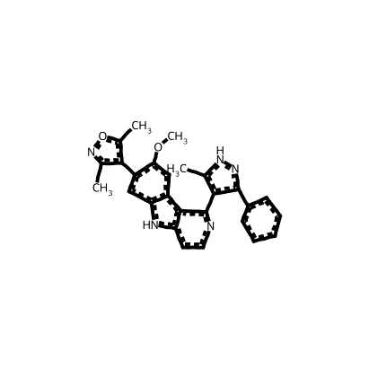 COc1cc2c(cc1-c1c(C)noc1C)[nH]c1ccnc(-c3c(-c4ccccc4)n[nH]c3C)c12